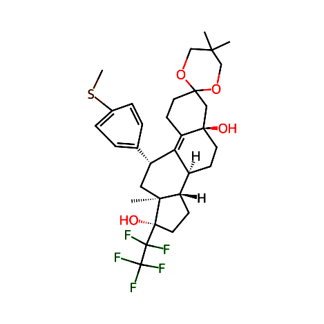 CSc1ccc([C@H]2C[C@@]3(C)[C@@H](CC[C@@]3(O)C(F)(F)C(F)(F)F)[C@@H]3CC[C@@]4(O)CC5(CCC4=C32)OCC(C)(C)CO5)cc1